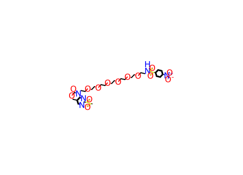 CS(=O)(=O)c1ncc2c(n1)N(CCOCCOCCOCCOCCOCCOCCNS(=O)(=O)c1ccc([N+](=O)[O-])cc1)C(=O)OC2